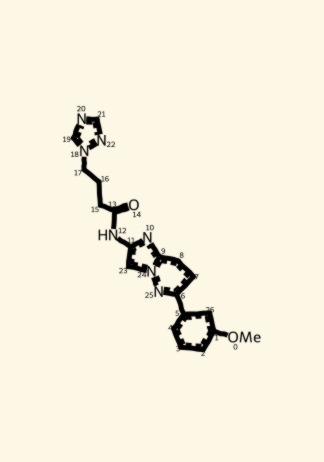 COc1cccc(-c2ccc3nc(NC(=O)CCCn4cncn4)cn3n2)c1